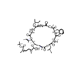 C/C=C(\C)[C@H]1OC(=O)[C@@H](C)NC(=O)[C@H](C(C)CC)NC(=O)CN(C)C(=O)[C@@H](Cc2ccccc2)N(C)C(=O)[C@H](C)NC(=O)[C@@H](CC(C)C)OC(=O)/C(C)=C/C[C@H](OC(O)N(C)CCN(C)C(=O)OC(C)(C)C)[C@@H]1C